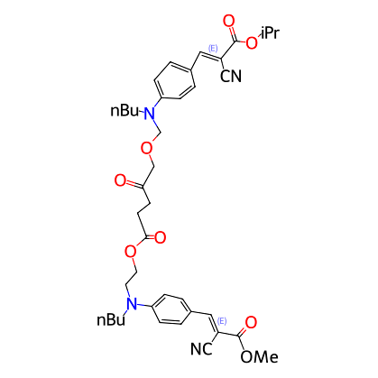 CCCCN(CCOC(=O)CCC(=O)COCN(CCCC)c1ccc(/C=C(\C#N)C(=O)OC(C)C)cc1)c1ccc(/C=C(\C#N)C(=O)OC)cc1